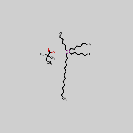 CCC(C)(C)C(=O)[O-].CCCCCCCCCCCCCC[P+](CCCCCC)(CCCCCC)CCCCCC